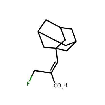 O=C(O)C(=CC12CC3CC(CC(C3)C1)C2)CF